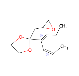 C/C=C\C(=C/CC)C1(CC2CO2)OCCO1